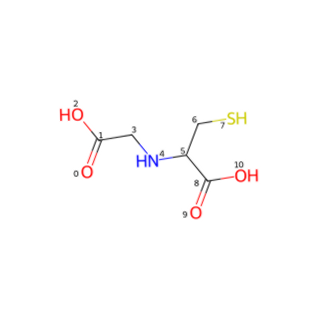 O=C(O)CNC(CS)C(=O)O